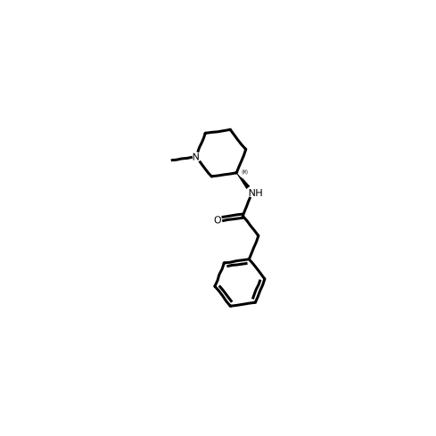 CN1CCC[C@@H](NC(=O)Cc2ccccc2)C1